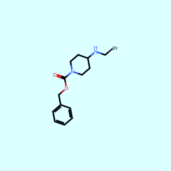 CC(C)CNC1CCN(C(=O)OCc2ccccc2)CC1